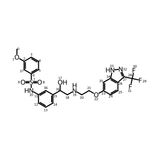 COc1cccc(S(=O)(=O)Nc2cccc(C(O)CNCCOc3ccc4c(C(F)(F)F)n[nH]c4c3)c2)c1